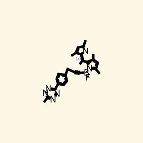 CC1=CC(C)=N/C1=C(/C)c1c(C)cc(C)n1B(F)C#CCc1ccc(-c2nnc(C)nn2)cc1